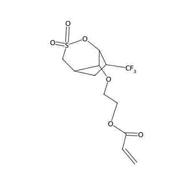 C=CC(=O)OCCOC1C2CC(C(F)(F)F)C1OS(=O)(=O)C2